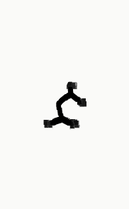 CCC(CC)CC(Cl)C(C)=O